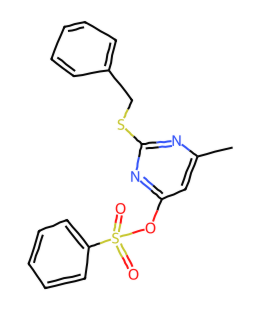 Cc1cc(OS(=O)(=O)c2ccccc2)nc(SCc2ccccc2)n1